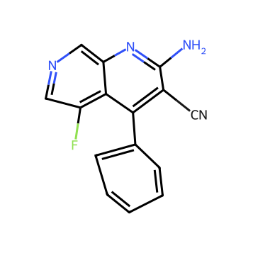 N#Cc1c(N)nc2cncc(F)c2c1-c1ccccc1